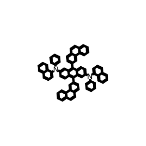 c1ccc(N(c2ccc3c(-c4ccc5ccc6ccccc6c5c4)c4cc(N(c5ccccc5)c5cccc6ccccc56)ccc4c(-c4ccc5ccc6ccccc6c5c4)c3c2)c2cccc3ccccc23)cc1